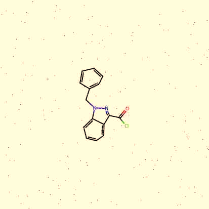 O=C(Cl)c1nn(Cc2ccccc2)c2ccccc12